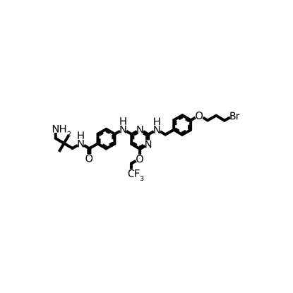 CC(C)(CN)CNC(=O)c1ccc(Nc2cc(OCC(F)(F)F)nc(NCc3ccc(OCCCBr)cc3)n2)cc1